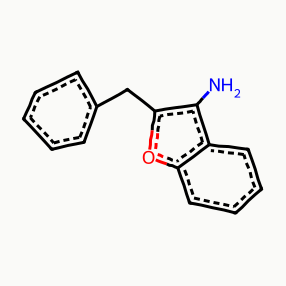 Nc1c(Cc2ccccc2)oc2ccccc12